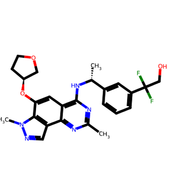 Cc1nc(N[C@H](C)c2cccc(C(F)(F)CO)c2)c2cc(O[C@H]3CCOC3)c3c(cnn3C)c2n1